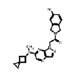 CN(c1cnc2cnn(CC(=O)N3Cc4ccc(Br)cc4C3)c2n1)C1CC2(CC2)C1